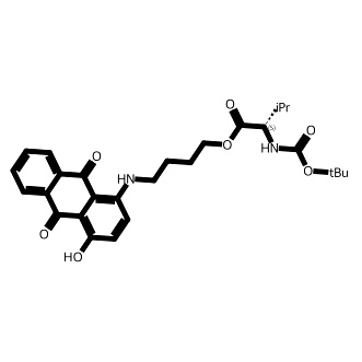 CC(C)[C@H](NC(=O)OC(C)(C)C)C(=O)OCCCCNc1ccc(O)c2c1C(=O)c1ccccc1C2=O